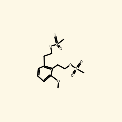 COc1cccc(CCOS(C)(=O)=O)c1CCOS(C)(=O)=O